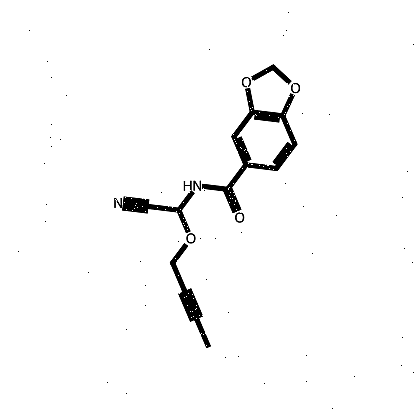 CC#CCOC(C#N)NC(=O)c1ccc2c(c1)OCO2